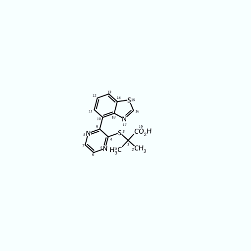 CC(C)(Sc1nccnc1-c1cccc2scnc12)C(=O)O